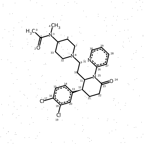 CC(=O)N(C)C1CCN(CCC2[C@H](c3ccc(Cl)c(Cl)c3)CCC(=O)N2c2ccccn2)CC1